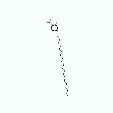 CCCCCCCCCCCCCCCCCCCCOc1ccc(C(=O)O)c(O)c1